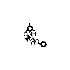 Cc1cc(C)c(NC(=O)C2([N+](C)(C)CC(=O)OCc3ccccc3)CC2)c(C)c1